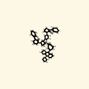 c1ccc(-c2c3ccccc3c(-c3cccc(-n4c5ccc(-c6cccc7c6sc6ccccc67)cc5c5cc(-c6cccc7c6sc6ccccc67)ccc54)c3)c3ccccc23)cc1